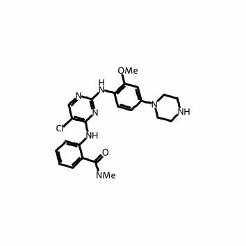 CNC(=O)c1ccccc1Nc1nc(Nc2ccc(N3CCNCC3)cc2OC)ncc1Cl